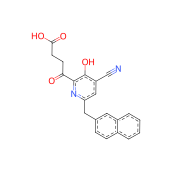 N#Cc1cc(Cc2ccc3ccccc3c2)nc(C(=O)CCC(=O)O)c1O